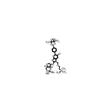 CC1(C)OB(c2ccc(-c3nc4nc(O[C@@H]5CO[C@@H]6CO[Si](C(C)(C)C)(C(C)(C)C)O[C@H]65)n(COCC[Si](C)(C)C)c4cc3Cl)cc2)OC1(C)C